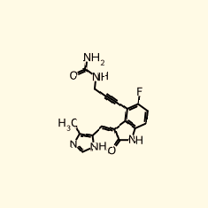 Cc1nc[nH]c1C=C1C(=O)Nc2ccc(F)c(C#CCNC(N)=O)c21